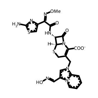 CO/N=C(\C(=O)N[C@@H]1C(=O)N2C(C(=O)[O-])=C(Cn3cc(C=NO)[n+]4ccccc34)CS[C@@H]12)c1csc(N)n1